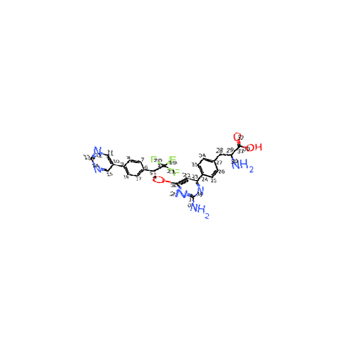 Nc1nc(O[C@H](c2ccc(-c3cncnc3)cc2)C(F)(F)F)cc(-c2ccc(CC(N)C(=O)O)cc2)n1